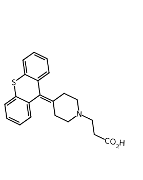 O=C(O)CCN1CCC(=C2c3ccccc3Sc3ccccc32)CC1